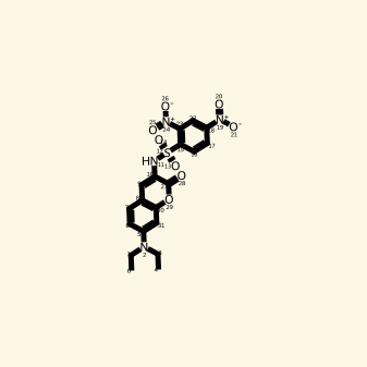 CCN(CC)c1ccc2cc(NS(=O)(=O)c3ccc([N+](=O)[O-])cc3[N+](=O)[O-])c(=O)oc2c1